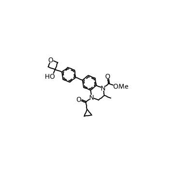 COC(=O)N1c2ccc(-c3ccc(C4(O)COC4)cc3)cc2N(C(=O)C2CC2)CC1C